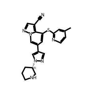 Cc1ccnc(Sc2cc(-c3cnn([C@H]4CCCNC4)c3)cn3ncc(C#N)c23)c1